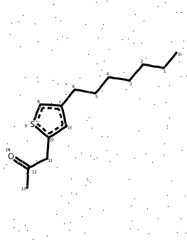 CCCCCCCc1csc(CC(C)=O)c1